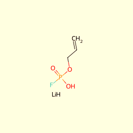 C=CCOP(=O)(O)F.[LiH]